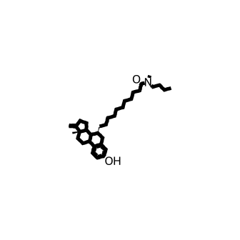 C=C1CCC2C3C(CC[C@]12C)c1ccc(O)cc1C[C@H]3CCCCCCCCCCC(=O)N(C)CCCC